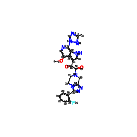 COc1cnc(-n2cnc(C)n2)c2[nH]cc(C(=O)C(=O)N3CCn4c(nnc4-c4ccccc4F)C3)c12